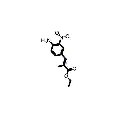 CCOC(=O)/C(C)=C/c1ccc(N)c([N+](=O)[O-])c1